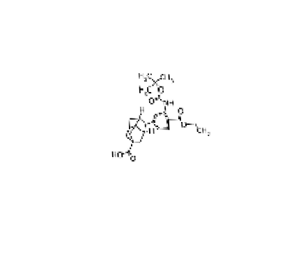 CCOC(=O)c1ccc(C2[C@@H]3CC4C[C@H]2CC(C(=O)O)(C4)C3)cc1NC(=O)OC(C)(C)C